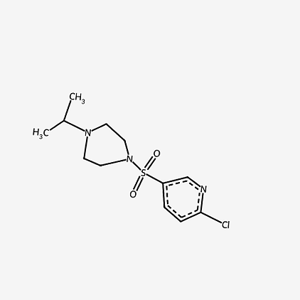 CC(C)N1CCN(S(=O)(=O)c2ccc(Cl)nc2)CC1